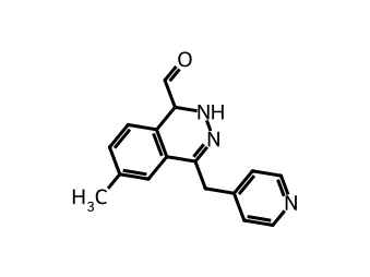 Cc1ccc2c(c1)C(Cc1ccncc1)=NNC2C=O